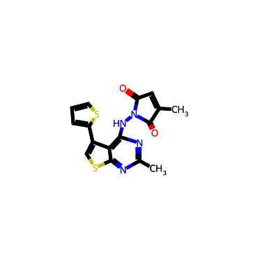 CC1=CC(=O)N(Nc2nc(C)nc3scc(-c4cccs4)c23)C1=O